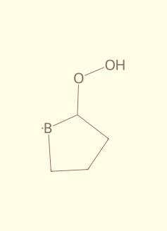 OOC1[B]CCC1